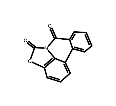 O=c1oc2cccc3c4ccccc4c(=O)n1c23